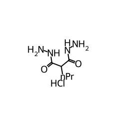 CCCC(C(=O)NN)C(=O)NN.Cl